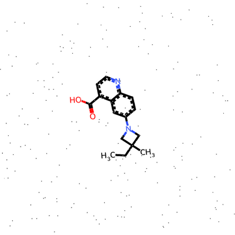 CCC1(C)CN(c2ccc3nccc(C(=O)O)c3c2)C1